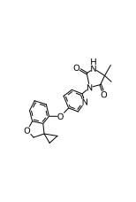 CC1(C)NC(=O)N(c2ccc(Oc3cccc4c3C3(CC3)CO4)cn2)C1=O